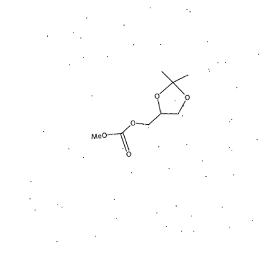 COC(=O)OCC1COC(C)(C)O1